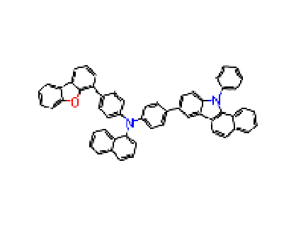 c1ccc(-n2c3ccc(-c4ccc(N(c5ccc(-c6cccc7c6oc6ccccc67)cc5)c5cccc6ccccc56)cc4)cc3c3ccc4ccccc4c32)cc1